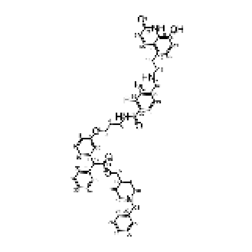 O=C(NCCCOc1cccc(C(C(=O)OCC2CCN(Cc3ccccc3)CC2)c2ccccc2)c1)c1ccc(CNCCc2ccc(O)c3[nH]c(=O)ccc23)c(F)c1F